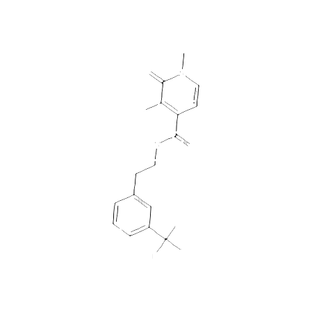 Cn1ccc(C(=O)NCCc2cccc(C(F)(F)F)c2)c(O)c1=O